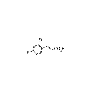 CCOC(=O)C=Cc1ccc(F)cc1CC